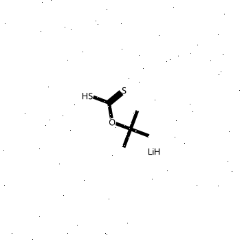 CC(C)(C)OC(=S)S.[LiH]